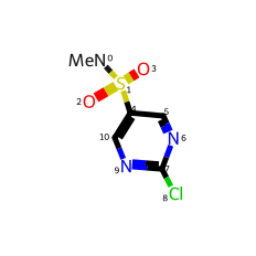 CNS(=O)(=O)c1cnc(Cl)nc1